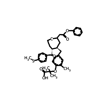 CSc1ccc(C(=O)[C@@H]2CCCC(CC(=O)Oc3ccccc3)C[C@H]2Cc2ccc(OC(C)(C)C(=O)O)c(C)c2)cc1